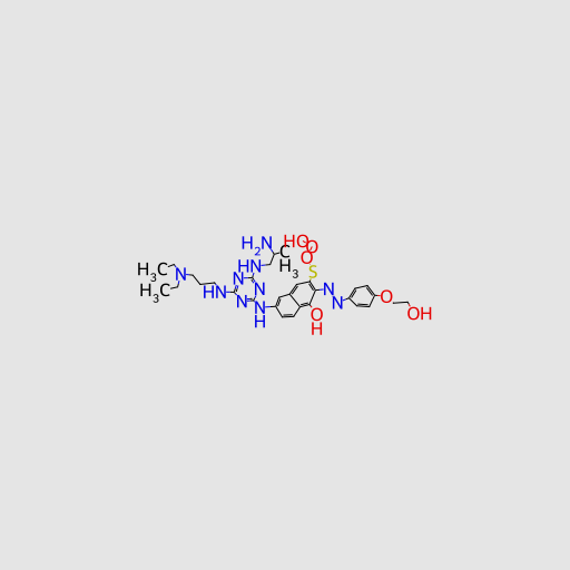 CCN(CC)CCCNc1nc(NCC(C)N)nc(Nc2ccc3c(O)c(N=Nc4ccc(OCCO)cc4)c(SOOO)cc3c2)n1